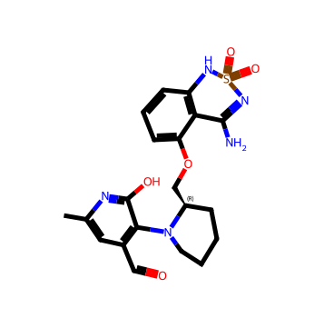 Cc1cc(C=O)c(N2CCCC[C@@H]2COc2cccc3c2C(N)=NS(=O)(=O)N3)c(O)n1